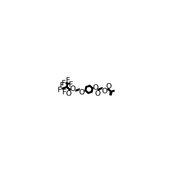 C=C(C)C(=O)OCC(=O)OC1CCC(OCCOC(=O)C(C(F)(F)F)C(F)(F)F)CC1